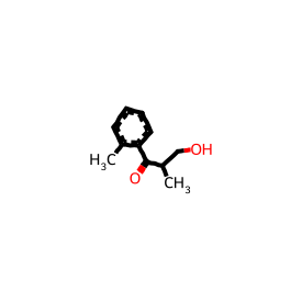 Cc1ccccc1C(=O)C(C)CO